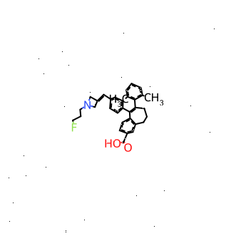 Cc1cccc(C)c1C1=C(c2ccc(C=C3CN(CCCF)C3)cc2)c2ccc(C(=O)O)cc2CCC1